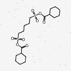 O=C(OS(=O)(=O)CCCCCS(=O)(=O)OC(=O)C1CCCCC1)C1CCCCC1